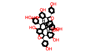 Oc1ccc([C@@H]2c3c(O)cc4c(c3[C@@H]3c5c(O)cc6c(c5[C@H]2[C@H]3c2ccc(O)cc2)[C@@H](c2cc(O)cc(O)c2)[C@H](c2ccc(O)cc2)O6)[C@@H](c2cc(O)cc(O)c2)[C@H](c2ccc(O)cc2)O4)cc1